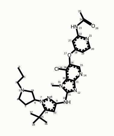 CCCN1CCC(n2nc(Nc3nc4ncc(Oc5ccnc(NC(C)=O)c5)c(Cl)c4n3C)cc2C(C)(C)C)C1